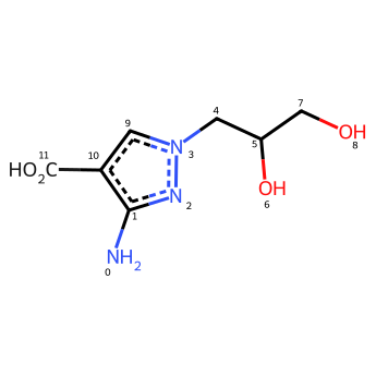 Nc1nn(CC(O)CO)cc1C(=O)O